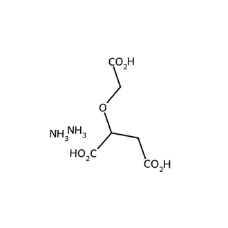 N.N.O=C(O)COC(CC(=O)O)C(=O)O